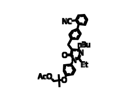 CCCCc1nc(CC)n(-c2ccc(OC(C)(C)COC(C)=O)cc2)c(=O)c1Cc1ccc(-c2ccccc2C#N)cc1